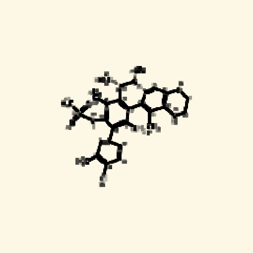 Cc1cc(-c2c(C)c(-c3ccc4c(c3C)NCCO4)c([C@@H](OC(C)(C)C)C(=O)O)c(C)c2NS(C)(=O)=O)ccc1Cl